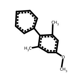 COc1cc(C)c(-c2ccccc2)c(C)c1